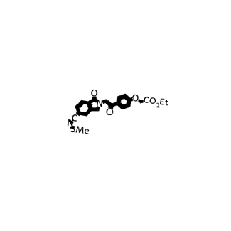 CCOC(=O)COc1ccc(C(=O)CN2CC3=C(C=CC(=C=NSC)C3)C2=O)cc1